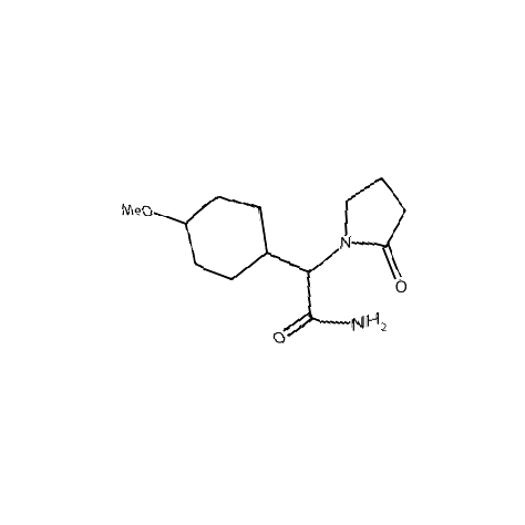 COC1CCC(C(C(N)=O)N2CCCC2=O)CC1